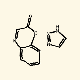 O=c1cnc2ccccc2o1.c1c[nH]nn1